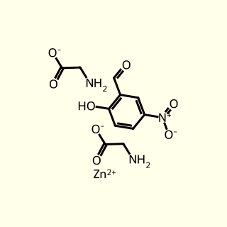 NCC(=O)[O-].NCC(=O)[O-].O=Cc1cc([N+](=O)[O-])ccc1O.[Zn+2]